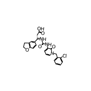 O=C(O)C[C@H](NC(=O)Nc1cccn(Cc2ccccc2Cl)c1=O)c1ccc2c(c1)CCO2